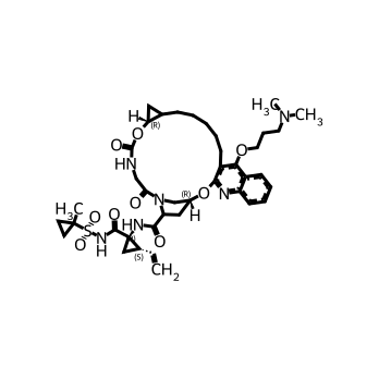 C=C[C@@H]1C[C@]1(NC(=O)C1C[C@@H]2CN1C(=O)CNC(=O)O[C@@H]1CC1CCCCCc1c(nc3ccccc3c1OCCCN(C)C)O2)C(=O)NS(=O)(=O)C1(C)CC1